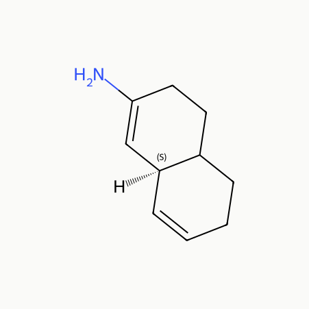 NC1=C[C@@H]2C=CCCC2CC1